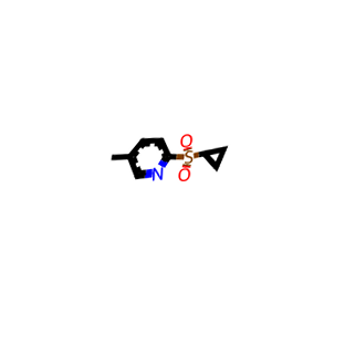 Cc1ccc(S(=O)(=O)C2CC2)nc1